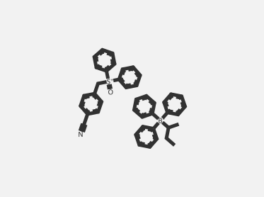 CCC(C)[B-](c1ccccc1)(c1ccccc1)c1ccccc1.N#Cc1ccc(C[S+](=O)(c2ccccc2)c2ccccc2)cc1